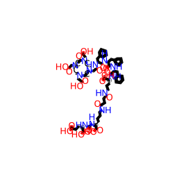 O=C(O)CC[C@H](NC(=O)N[C@@H](CCCCNC(=O)CCC(=O)NCCC[C@H](NC(=O)C(Cc1ccccc1)NC(=O)C(Cc1ccccc1)NC(=O)C(Cc1ccccc1)NC(=O)CN1CCN(CC(=O)O)CCN(CC(=O)O)CCN(CC(=O)O)CC1)C(=O)O)C(=O)O)C(=O)O